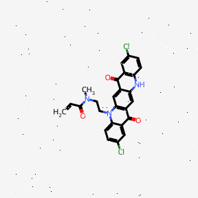 C=CC(=O)N(C)CCn1c2ccc(Cl)cc2c(=O)c2cc3[nH]c4ccc(Cl)cc4c(=O)c3cc21